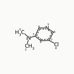 CN(C)c1cncc(Cl)c1